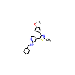 COc1ccc(-c2nc(C)sc2-c2ccnc(NCc3ccccc3)c2)cc1